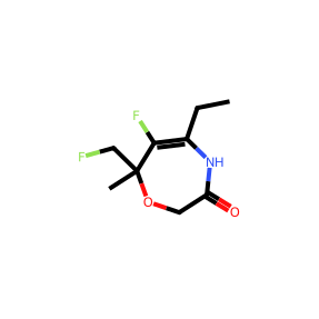 CCC1=C(F)C(C)(CF)OCC(=O)N1